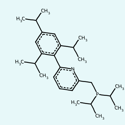 CC(C)c1cc(C(C)C)c(-c2cccc(CP(C(C)C)C(C)C)n2)c(C(C)C)c1